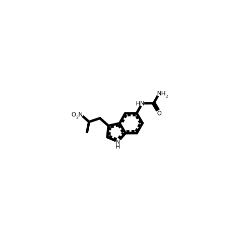 CC(Cc1c[nH]c2ccc(NC(N)=O)cc12)[N+](=O)[O-]